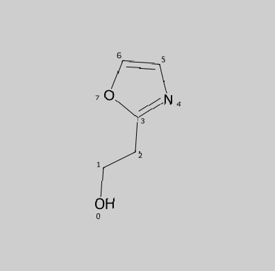 OC[CH]c1ncco1